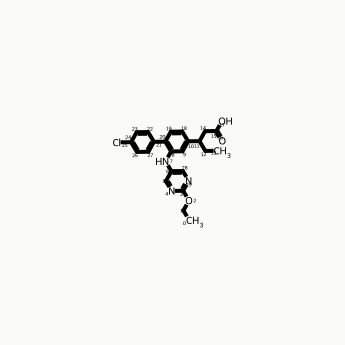 CCOc1ncc(Nc2cc(C(CC)CC(=O)O)ccc2-c2ccc(Cl)cc2)cn1